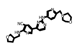 N#Cc1cc(-c2ccnc(Nc3ccc(CN4CCOCC4)nc3)n2)cnc1NCC1CCOC1